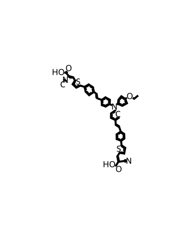 [C-]#[N+]/C(=C\c1ccc(-c2ccc(/C=C/c3ccc(N(c4ccc(/C=C/c5ccc(-c6ccc(/C=C(\C#N)C(=O)O)s6)cc5)cc4)c4ccc(OCC)cc4)cc3)cc2)s1)C(=O)O